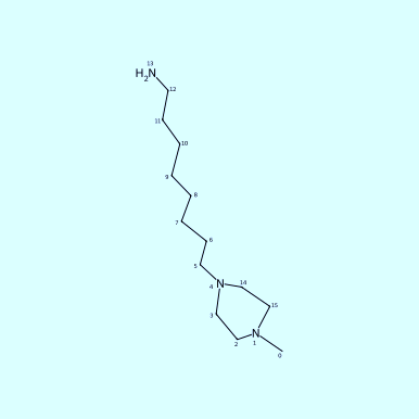 CN1CCN(CCCCCCCCN)CC1